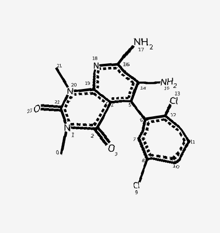 Cn1c(=O)c2c(-c3cc(Cl)ccc3Cl)c(N)c(N)nc2n(C)c1=O